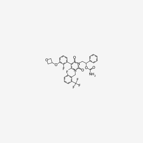 Cc1c(-c2cccc(OC3COC3)c2F)c(=O)n(CC(OC(N)=O)c2ccccc2)c(=O)n1Cc1c(F)cccc1C(F)(F)F